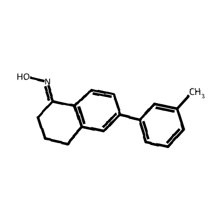 Cc1cccc(-c2ccc3c(c2)CCC/C3=N\O)c1